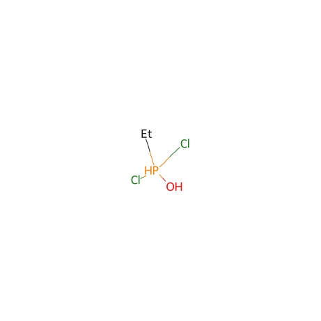 CC[PH](O)(Cl)Cl